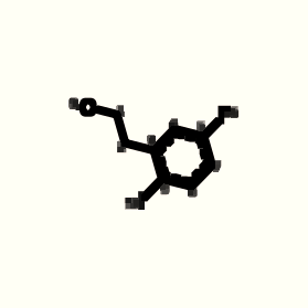 [O]CCc1cc(F)ccc1I